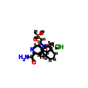 CO[C@@]1(c2ccnc(C(N)=O)c2)[C@@H]2CCC[C@H]1CN(CCS(C)(=O)=O)C2.Cl